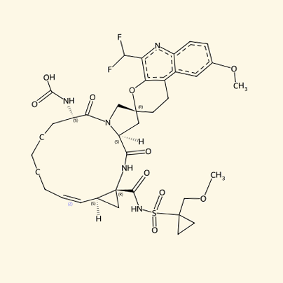 COCC1(S(=O)(=O)NC(=O)[C@@]23C[C@H]2/C=C\CCCCC[C@H](NC(=O)O)C(=O)N2C[C@@]4(CCc5c(c(C(F)F)nc6ccc(OC)cc56)O4)C[C@H]2C(=O)N3)CC1